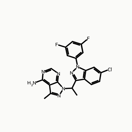 Cc1nn(C(C)c2nn(-c3cc(F)cc(F)c3)c3cc(Cl)ccc23)c2ncnc(N)c12